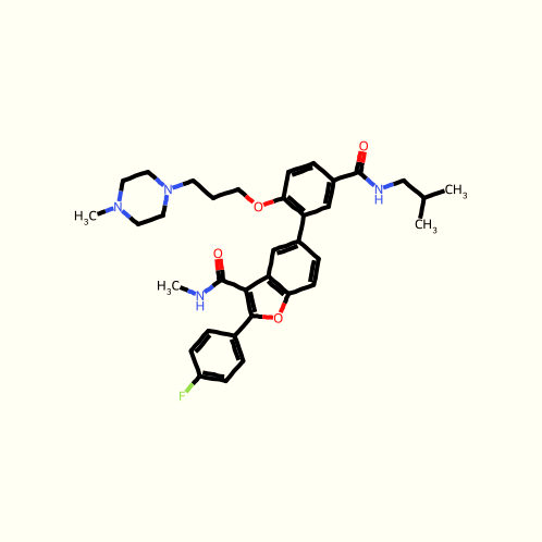 CNC(=O)c1c(-c2ccc(F)cc2)oc2ccc(-c3cc(C(=O)NCC(C)C)ccc3OCCCN3CCN(C)CC3)cc12